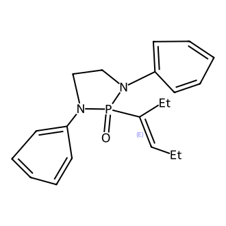 CC/C=C(\CC)P1(=O)N(c2ccccc2)CCN1c1ccccc1